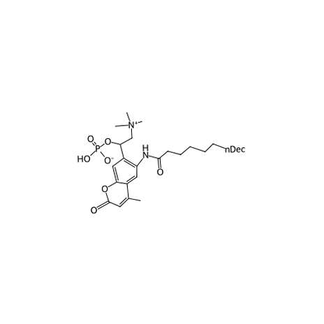 CCCCCCCCCCCCCCCC(=O)Nc1cc2c(C)cc(=O)oc2cc1C(C[N+](C)(C)C)OP(=O)([O-])O